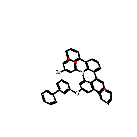 Brc1cccc(N(c2cc(Oc3cccc(-c4ccccc4)c3)cc(-c3ccccc3)c2)c2c(-c3ccccc3)cccc2-c2ccccc2)c1